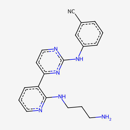 N#Cc1cccc(Nc2nccc(-c3cccnc3NCCCN)n2)c1